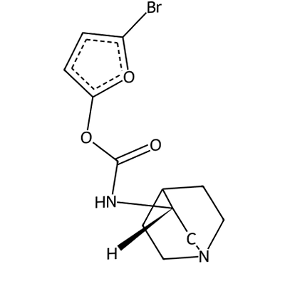 O=C(N[C@H]1CN2CCC1CC2)Oc1ccc(Br)o1